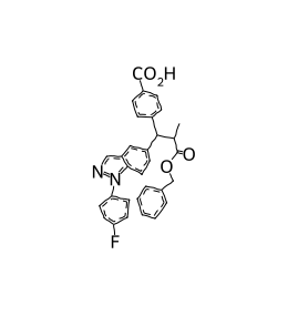 CC(C(=O)OCc1ccccc1)C(c1ccc(C(=O)O)cc1)c1ccc2c(cnn2-c2ccc(F)cc2)c1